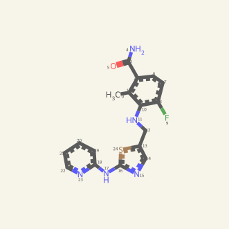 Cc1c(C(N)=O)ccc(F)c1NCc1cnc(Nc2ccccn2)s1